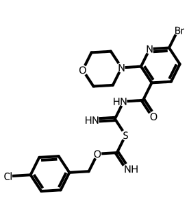 N=C(NC(=O)c1ccc(Br)nc1N1CCOCC1)SC(=N)OCc1ccc(Cl)cc1